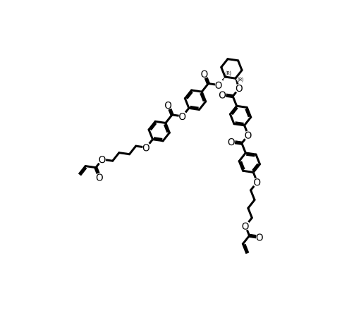 C=CC(=O)OCCCCOc1ccc(C(=O)Oc2ccc(C(=O)O[C@@H]3CCCC[C@H]3OC(=O)c3ccc(OC(=O)c4ccc(OCCCCOC(=O)C=C)cc4)cc3)cc2)cc1